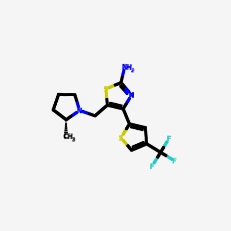 C[C@@H]1CCCN1Cc1sc(N)nc1-c1cc(C(F)(F)F)cs1